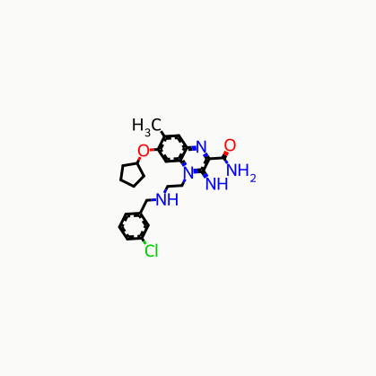 Cc1cc2nc(C(N)=O)c(=N)n(CCNCc3cccc(Cl)c3)c2cc1OC1CCCC1